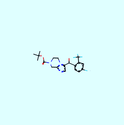 CC(C)(C)OC(=O)N1CCn2c(C(O)c3ccc(F)cc3C(F)(F)F)cnc2C1